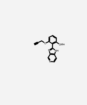 C#CCOc1cccc(OC)c1-c1nc2cnccc2[nH]1